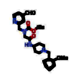 COc1ccccc1CN1CCC(NC(=O)CN(Cc2cc(C=O)ccn2)C(=O)OC(C)(C)C)CC1